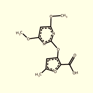 COc1cc(OC)nc(Oc2cc(C)oc2C(=O)O)n1